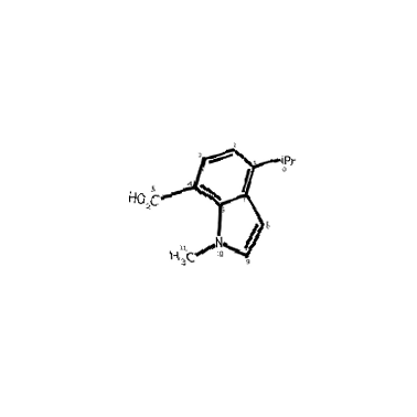 CC(C)c1ccc(C(=O)O)c2c1ccn2C